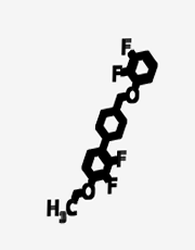 CCOc1ccc(C2CCC(COc3cccc(F)c3F)CC2)c(F)c1F